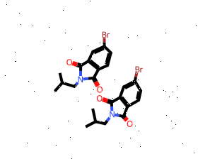 CC(C)CN1C(=O)c2ccc(Br)cc2C1=O.CC(C)CN1C(=O)c2ccc(Br)cc2C1=O